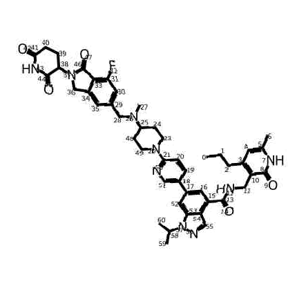 CCCc1cc(C)[nH]c(=O)c1CNC(=O)c1cc(-c2ccc(N3CCC(N(C)Cc4cc(F)c5c(c4)CN(C4CCC(=O)NC4=O)C5=O)CC3)nc2)cc2c1cnn2C(C)C